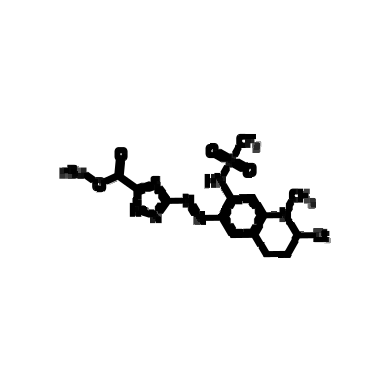 CCCCOC(=O)c1nnc(N=Nc2cc3c(cc2NS(=O)(=O)C(F)(F)F)N(C)C(CC)CC3)s1